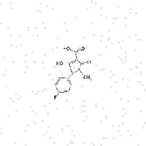 CN1C(=O)C(C(=O)O)=C(O)C1c1ccc(F)cc1